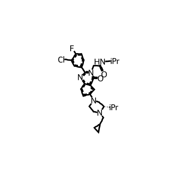 CC(C)NC(=O)Cn1c(-c2ccc(F)c(Cl)c2)nc2ccc(N3CCN(CC4CC4)[C@@H](C(C)C)C3)cc2c1=O